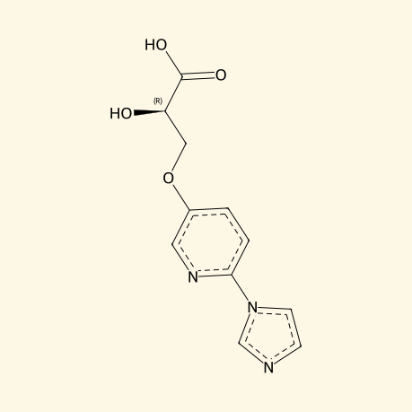 O=C(O)[C@H](O)COc1ccc(-n2ccnc2)nc1